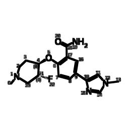 CN1CC[C@@H](Oc2ccc(-c3cn(C)cn3)cc2C(N)=O)[C@H](F)C1